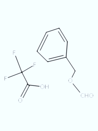 O=C(O)C(F)(F)F.O=COCc1ccccc1